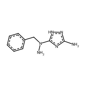 Nc1n[nH]c(N(N)Cc2ccccc2)n1